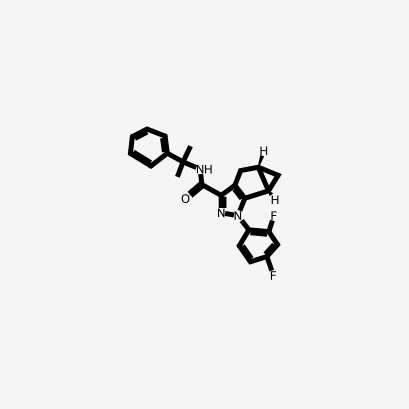 CC(C)(NC(=O)c1nn(-c2ccc(F)cc2F)c2c1C[C@@H]1C[C@H]21)c1ccccc1